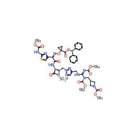 CC(C)(C)OC(=O)N=C(NCc1cnn(C[C@@H]2[C@H](NC(=O)C(=NOC3(C(=O)OC(c4ccccc4)c4ccccc4)CC3)c3csc(NC(=O)OC(C)(C)C)n3)C(=O)N2S(=O)(=O)O)n1)N(CC1CN(C(=O)OC(C)(C)C)C1)C(=O)OC(C)(C)C